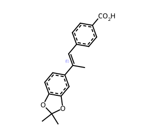 C/C(=C\c1ccc(C(=O)O)cc1)c1ccc2c(c1)OC(C)(C)O2